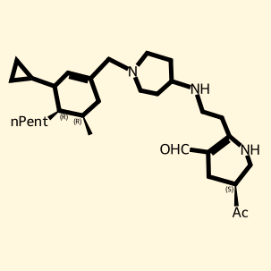 CCCCC[C@H]1C(C2CC2)C=C(CN2CCC(NCCC3=C(C=O)C[C@H](C(C)=O)CN3)CC2)C[C@H]1C